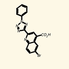 O=C(O)c1cc(-c2nnn(-c3ccccc3)n2)nc2ccc(Br)cc12